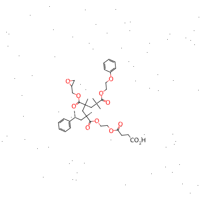 CC(CC(C)(CC(C)(CC(C)(C)C(=O)OCCOc1ccccc1)C(=O)OCC1CO1)C(=O)OCCOC(=O)CCC(=O)O)c1ccccc1